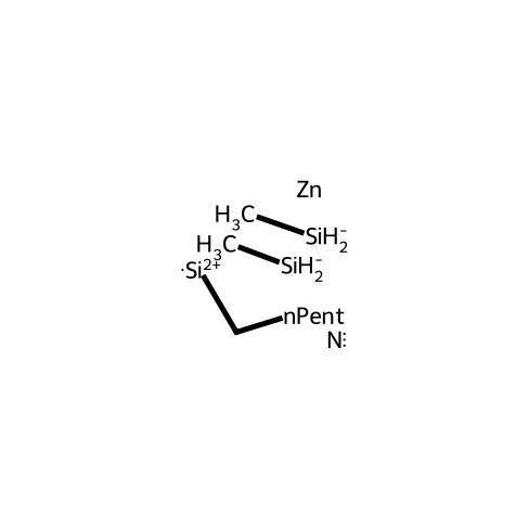 CCCCCC[Si+2].C[SiH2-].C[SiH2-].[N].[Zn]